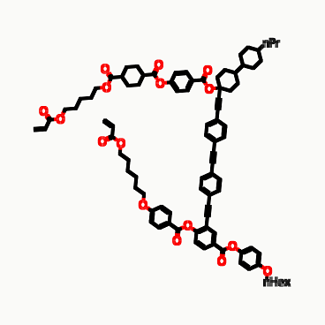 C=CC(=O)OCCCCCCOc1ccc(C(=O)Oc2ccc(C(=O)Oc3ccc(OCCCCCC)cc3)cc2C#Cc2ccc(C#Cc3ccc(C#CC4(OC(=O)c5ccc(OC(=O)C6CCC(C(=O)OCCCCCOC(=O)C=C)CC6)cc5)CCC(C5CCC(CCC)CC5)CC4)cc3)cc2)cc1